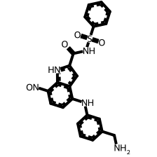 NCc1cccc(Nc2ccc(N=O)c3[nH]c(C(=O)NS(=O)(=O)c4ccccc4)cc23)c1